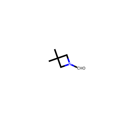 CC1(C)CN(C=O)C1